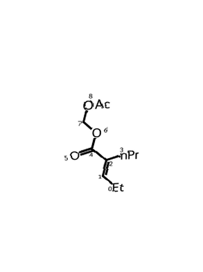 CC/C=C(\CCC)C(=O)OCOC(C)=O